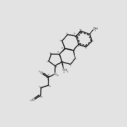 CC12CCC3c4ccc(O)cc4CCC3C1CCC2OC(=O)CCC=O